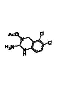 CC(=O)ON1Cc2c(ccc(Cl)c2Cl)NC1N